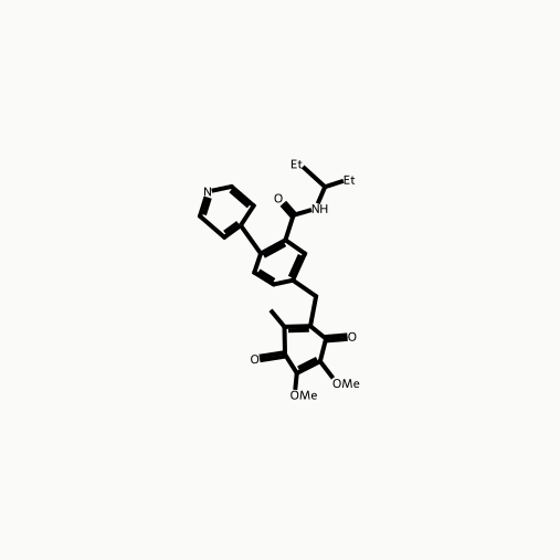 CCC(CC)NC(=O)c1cc(CC2=C(C)C(=O)C(OC)=C(OC)C2=O)ccc1-c1ccncc1